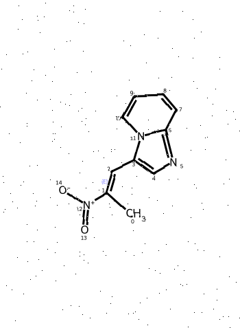 C/C(=C\c1cnc2ccccn12)[N+](=O)[O-]